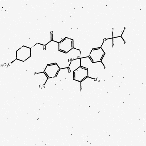 O=C(NC[C@H]1CC[C@H](C(=O)O)CC1)c1ccc(C[C@](NC(=O)c2ccc(F)c(C(F)(F)F)c2)(c2cc(F)cc(OC(F)(F)C(F)F)c2)c2ccc(F)c(C(F)(F)F)c2)cc1